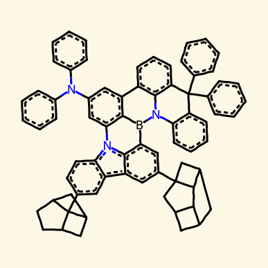 c1ccc(N(c2ccccc2)c2cc3c4c(c2)-n2c5ccc(C67C8CCC6CC7C8)cc5c5cc(C67CC8CC9CC(C6)C7C98)cc(c52)B4N2c4ccccc4C(c4ccccc4)(c4ccccc4)c4cccc-3c42)cc1